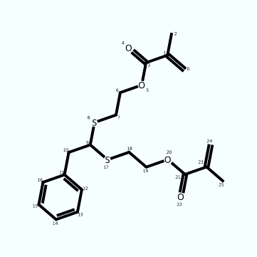 C=C(C)C(=O)OCCSC(Cc1ccccc1)SCCOC(=O)C(=C)C